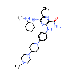 CCc1nc(C(N)=O)c(Nc2ccc(N3CCC(N4CCN(C)CC4)CC3)cc2)nc1N[C@@H]1CCCC[C@@H]1NC